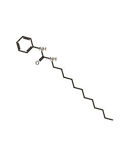 CCCCCCCCCCCCNC(=O)Nc1ccccc1